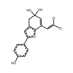 Oc1ccc(-c2cc3c(o2)C(C=C(Cl)Cl)=CC(O)(O)C3)cc1